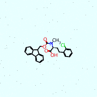 CN(C(=O)OCC1c2ccccc2-c2ccccc21)[C@@H](CCc1ccccc1Cl)C(=O)O